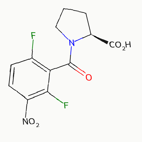 O=C(O)[C@@H]1CCCN1C(=O)c1c(F)ccc([N+](=O)[O-])c1F